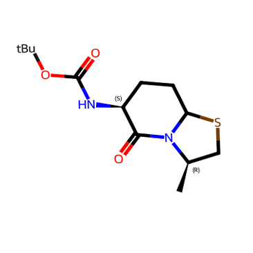 C[C@@H]1CSC2CC[C@H](NC(=O)OC(C)(C)C)C(=O)N21